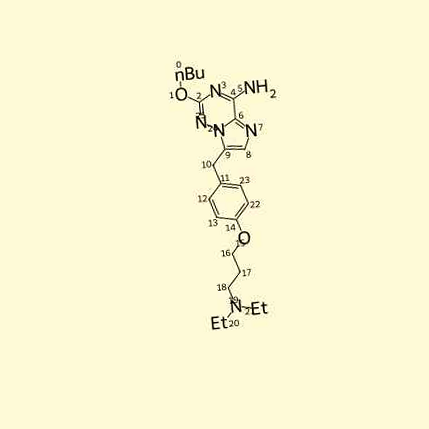 CCCCOc1nc(N)c2ncc(Cc3ccc(OCCCN(CC)CC)cc3)n2n1